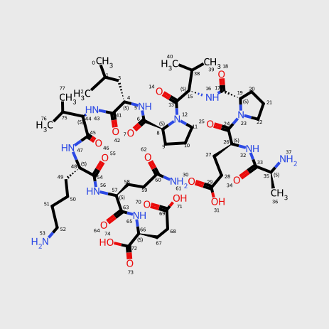 CC(C)C[C@H](NC(=O)[C@@H]1CCCN1C(=O)[C@@H](NC(=O)[C@@H]1CCCN1C(=O)[C@H](CCC(=O)O)NC(=O)[C@H](C)N)C(C)C)C(=O)N[C@H](C(=O)N[C@@H](CCCCN)C(=O)N[C@@H](CCC(N)=O)C(=O)N[C@@H](CCC(=O)O)C(=O)O)C(C)C